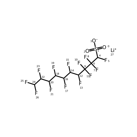 O=S(=O)([O-])C(F)C(F)(F)C(F)(F)C(F)C(F)C(F)C(F)C(F)C(F)C(F)F.[Li+]